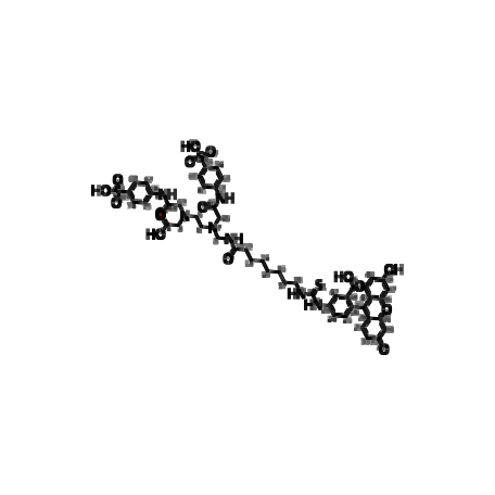 O=C(O)CN(CCN(CNC(=O)CCCCCCCNC(=S)Nc1ccc(-c2c3ccc(=O)cc-3oc3cc(O)ccc23)c(C(=O)O)c1)CC(=O)Nc1ccc(S(=O)(=O)O)cc1)CC(=O)Nc1ccc(S(=O)(=O)O)cc1